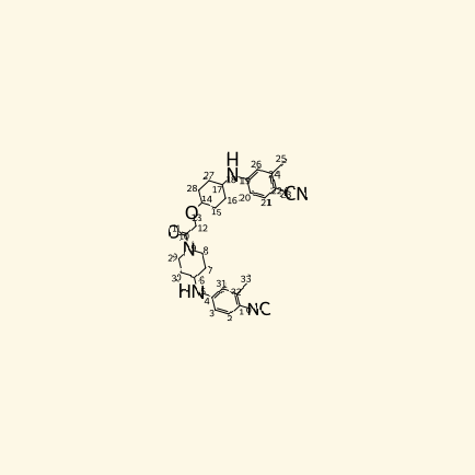 [C-]#[N+]c1ccc(NC2CCN(C(=O)COC3CCC(Nc4ccc(C#N)c(C)c4)CC3)CC2)cc1C